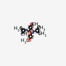 COc1ccc(C(/C=C/c2cc(C)cc(C)c2)S(=O)(=O)C(/C=C/c2cc(C)cc(C)c2)c2ccc(OC)cc2)cc1